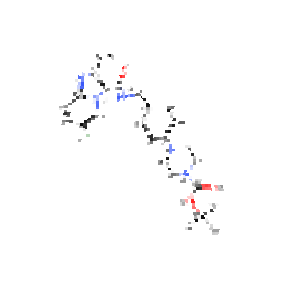 CCc1nc2ccc(Cl)cn2c1C(=O)NCc1ccc(N2CCN(C(=O)OC(C)(C)C)CC2)cc1